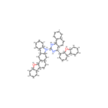 c1ccc2c(c1)ccc1c(-c3cccc4c3oc3ccccc34)nc(-n3c4ccccc4c4cc5c(ccc6c7ccccc7oc56)cc43)nc12